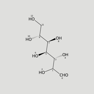 O=CC(O)[C@@H](O)[C@@H](O)[C@H](O)[C@H](O)CO